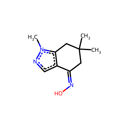 Cn1ncc2c1CC(C)(C)C/C2=N/O